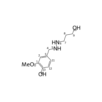 COc1cc(CNNCCCO)ccc1O